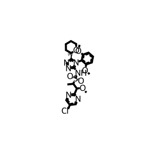 COc1cccc(OC)c1-n1c(NS(=O)(=O)C(C)C(OC)c2ncc(Cl)cn2)nnc1[C@H]1CCCCO1